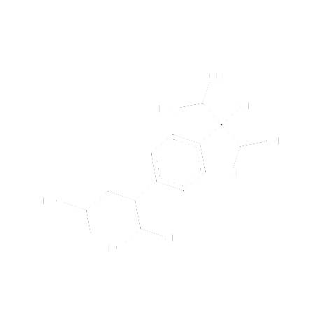 CC(I)CC(c1ccc(C(O)(C(C)C)C(C)C)cc1)C(C)C